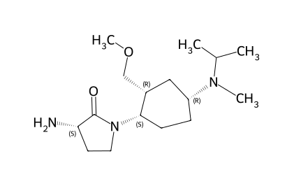 COC[C@@H]1C[C@H](N(C)C(C)C)CC[C@@H]1N1CC[C@H](N)C1=O